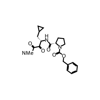 CNC(=O)C(=O)[C@H](CC1CC1)NC(=O)[C@@H]1CCCN1C(=O)OCc1ccccc1